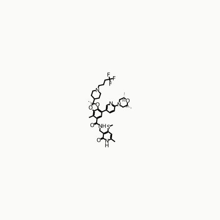 CSc1cc(C)[nH]c(=O)c1CNC(=O)c1cc(-c2ccc(N3C[C@@H](C)O[C@@H](C)C3)nc2)c2c(c1C)O[C@@](C)(C1CCN(CCCC(F)(F)F)CC1)O2